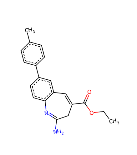 CCOC(=O)C1=Cc2cc(-c3ccc(C)cc3)ccc2N=C(N)C1